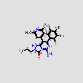 [2H]c1c([2H])c([2H])c(-c2nc(N)[n+]3c(=O)n(CCC(F)(F)F)[nH]c3c2-c2cc(C)nc(C)c2)c([2H])c1[2H]